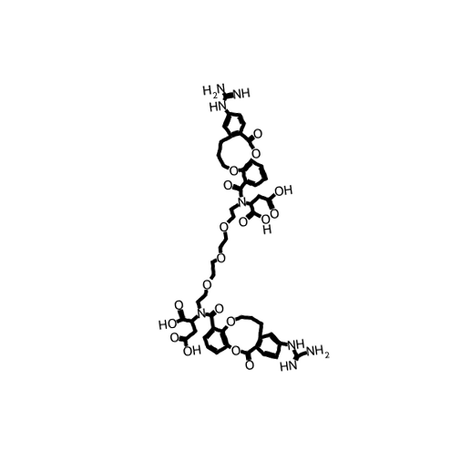 N=C(N)Nc1ccc2c(c1)CCCOc1c(cccc1C(=O)N(CCOCCOCCOCCN(C(=O)c1cccc3c1OCCCc1cc(NC(=N)N)ccc1C(=O)O3)C(CC(=O)O)C(=O)O)C(CC(=O)O)C(=O)O)OC2=O